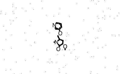 CO[C@H]1CC(COc2cccnc2)N(C)C1=O